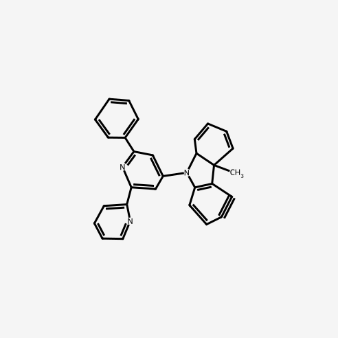 CC12C=CC=CC1N(c1cc(-c3ccccc3)nc(-c3ccccn3)c1)c1ccc#cc12